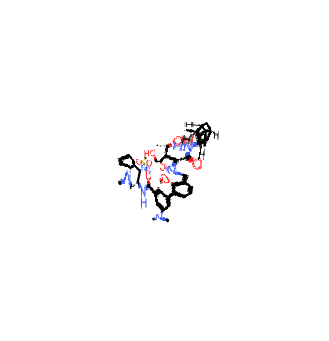 COc1c(CN2O[C@@H](CO)[C@@H]([C@H](C)O)[C@H]2C(=O)N[C@H]2C[C@H]3C[C@@H]([C@@H]2C)C3(C)C)cccc1-c1cc(C(=O)N[C@H](CN(C)C)[C@@H](NS(C)(=O)=O)c2ccccc2)cc(N(C)C)c1